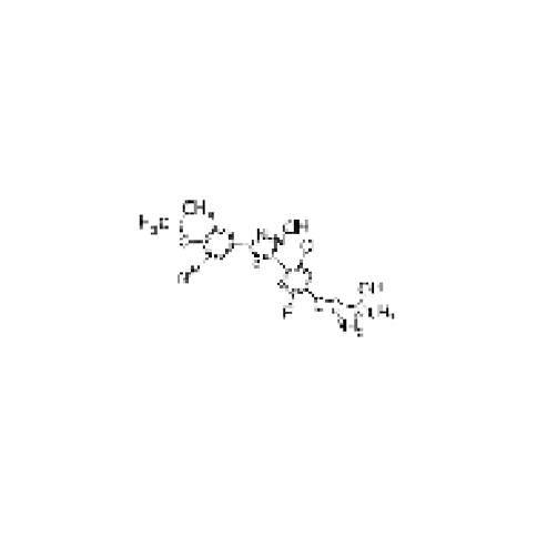 CC(C)Oc1ccc(-c2nnc(-c3cc(F)c(OC[C@@H](N)[C@@H](C)O)cc3Cl)s2)cc1C#N.Cl